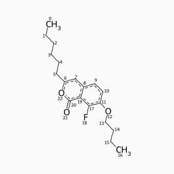 CCCCCCc1cc2ccc(OCCCC)c(F)c2c(=O)o1